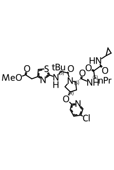 CCC[C@H](NC(=O)[C@@H]1C[C@@H](Oc2ccc(Cl)cn2)CN1C(=O)[C@@H](Nc1nc(CC(=O)OC)cs1)C(C)(C)C)C(=O)C(=O)NC1CC1